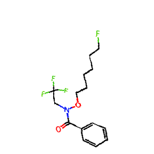 O=C(c1ccccc1)N(CC(F)(F)F)OCCCCCCF